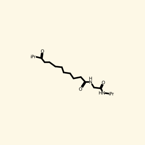 CC(C)NC(=O)CNC(=O)CCCCCCCCC(=O)C(C)C